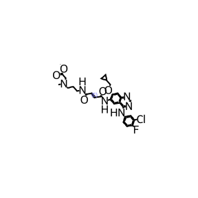 COC(=O)CN(C)CCCNC(=O)/C=C/C(=O)Nc1cc2c(Nc3ccc(F)c(Cl)c3)ncnc2cc1OCC1CC1